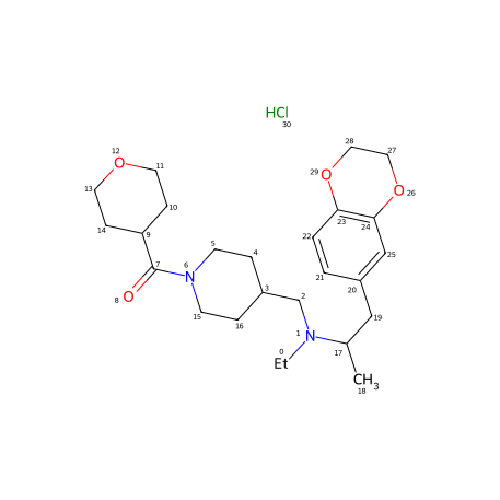 CCN(CC1CCN(C(=O)C2CCOCC2)CC1)C(C)Cc1ccc2c(c1)OCCO2.Cl